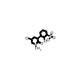 CCc1c(-c2cc(Cl)cn(C)c2=O)cccc1S(=O)(=O)Cl